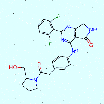 O=C1NCc2nc(-c3c(F)cccc3F)nc(Nc3ccc(CC(=O)N4CCCC4CO)cc3)c21